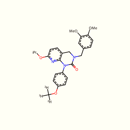 [2H]C([2H])([2H])Oc1ccc(N2C(=O)N(Cc3ccc(OC)c(OC)c3)Cc3ccc(OC(C)C)nc32)cc1